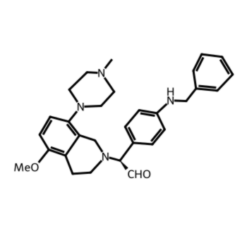 COc1ccc(N2CCN(C)CC2)c2c1CCN([C@H](C=O)c1ccc(NCc3ccccc3)cc1)C2